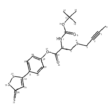 CC#CCSCC(NC(=O)OC(C)(C)C)C(=O)Oc1ccc(-c2cc(=S)ss2)cc1